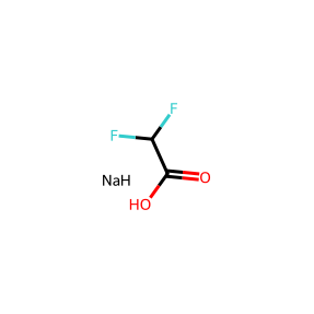 O=C(O)C(F)F.[NaH]